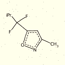 Cc1cc(C(F)(F)C(C)C)on1